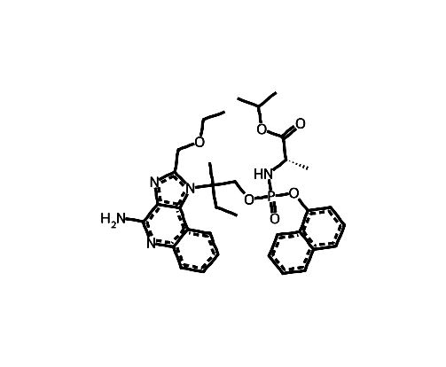 CCOCc1nc2c(N)nc3ccccc3c2n1C(C)(CC)COP(=O)(N[C@@H](C)C(=O)OC(C)C)Oc1cccc2ccccc12